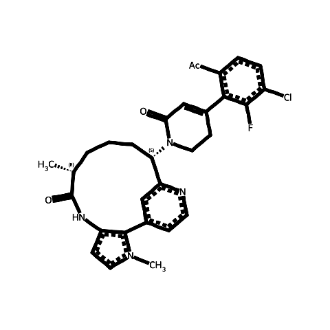 CC(=O)c1ccc(Cl)c(F)c1C1=CC(=O)N([C@H]2CCC[C@@H](C)C(=O)Nc3ccn(C)c3-c3ccnc2c3)CC1